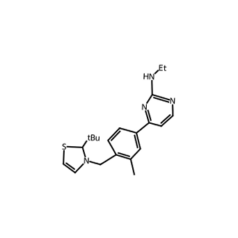 CCNc1nccc(-c2ccc(CN3C=CSC3C(C)(C)C)c(C)c2)n1